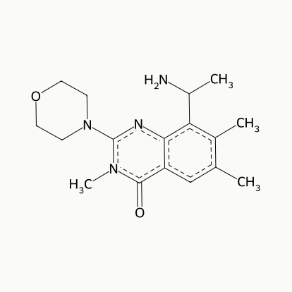 Cc1cc2c(=O)n(C)c(N3CCOCC3)nc2c(C(C)N)c1C